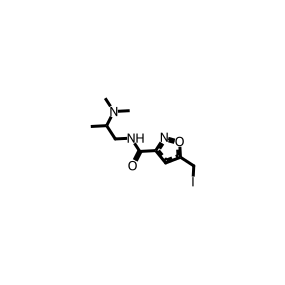 CC(CNC(=O)c1cc(CI)on1)N(C)C